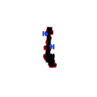 CC(C)(C)OC(=O)NCCOCCOCCNC(=O)OCCCC1C[C@@H]2O[C@@]23[C@@]2(C)CCC4=C(COC4=O)C2C[C@@H]2O[C@@]23C1=O